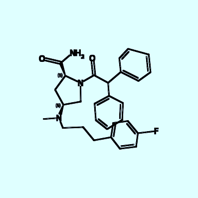 CN(CCCc1ccc(F)cc1)[C@H]1C[C@@H](C(N)=O)N(C(=O)C(c2ccccc2)c2ccccc2)C1